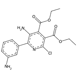 CCOC(=O)c1c(Cl)nc(-c2cccc(N)c2)c(N)c1C(=O)OCC